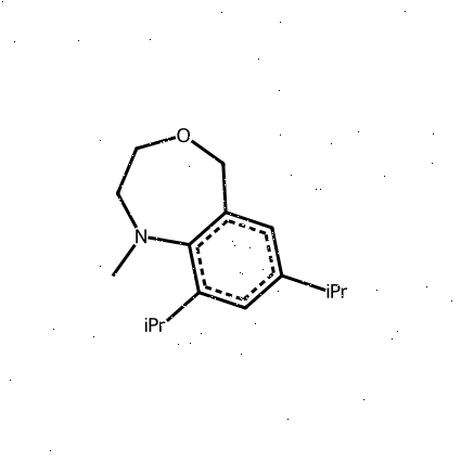 CC(C)c1cc2c(c(C(C)C)c1)N(C)CCOC2